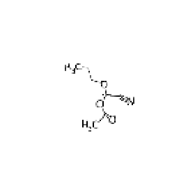 CCCO[C](C#N)OC(C)=O